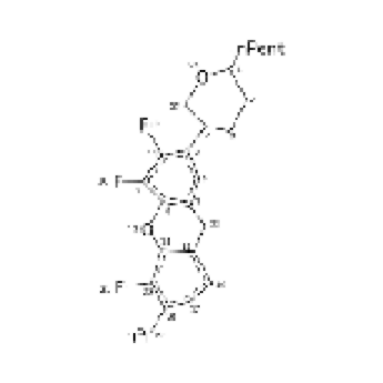 CCCCCC1CCC(c2cc3c(c(F)c2F)Oc2c(ccc(CCC)c2F)C3)CO1